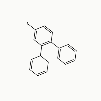 Ic1ccc(-c2ccccc2)c(C2C=CC=CC2)c1